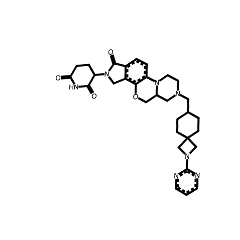 O=C1CCC(N2Cc3c(ccc4c3OCC3CN(CC5CCC6(CC5)CN(c5ncccn5)C6)CCN43)C2=O)C(=O)N1